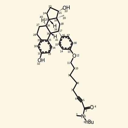 CCCCN(C)C(=O)C#CCCCCCOc1ccc([C@H]2C[C@]3(C)[C@@H](O)CC[C@H]3[C@@H]3CCc4cc(O)ccc4[C@H]32)cc1